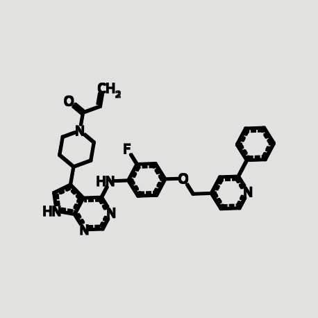 C=CC(=O)N1CCC(c2c[nH]c3ncnc(Nc4ccc(OCc5ccnc(-c6ccccc6)c5)cc4F)c23)CC1